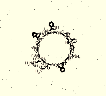 CCCC[C@H]1C(=O)N(C)[C@@H](CCCC)C(=O)N[C@@H](CCCNC(=N)N)C(=O)N[C@H](C(=O)NCC(N)=O)CSCC(=O)N2Cc3ccccc3C[C@H]2C(=O)N(C)[C@@H](C)C(=O)N[C@@H](CC(N)=O)C(=O)N2CCC[C@H]2C(=O)N[C@@H](Cc2cnc[nH]2)C(=O)N[C@@H](CC(C)C)C(=O)N(C)CC(=O)N[C@@H](Cc2c[nH]c3ccccc23)C(=O)N[C@@H](CO)CN[C@@H](Cc2c[nH]c3ccccc23)C(=O)N1C